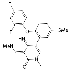 CN/C=C1\C(=N)C(c2cc(SC)ccc2Oc2ccc(F)cc2F)=CN(C)C1=O